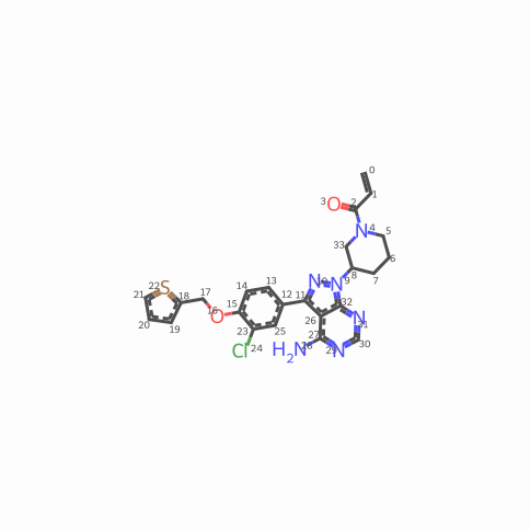 C=CC(=O)N1CCCC(n2nc(-c3ccc(OCc4cccs4)c(Cl)c3)c3c(N)ncnc32)C1